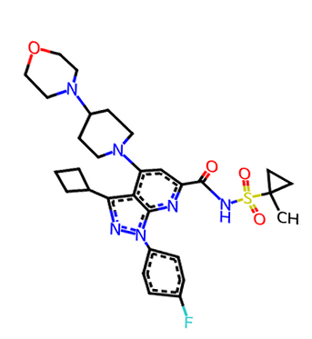 CC1(S(=O)(=O)NC(=O)c2cc(N3CCC(N4CCOCC4)CC3)c3c(C4CCC4)nn(-c4ccc(F)cc4)c3n2)CC1